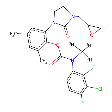 [2H]C([2H])([2H])N(C(=O)Oc1c(N2CCN(CC3CO3)C2=O)cc(C(F)(F)F)cc1C(F)(F)F)c1ccc(F)c(Cl)c1F